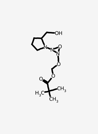 CC(C)(C)C(=O)OCOn1on1N1CCCC1CO